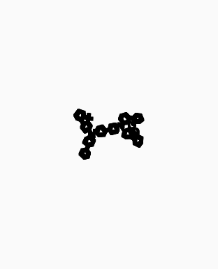 CC1(C)c2ccccc2-c2ccc(N(c3ccc(-c4ccccc4)cc3)c3ccc(-c4ccc(N(c5ccc6c(c5)oc5ccccc56)c5cccc6c5oc5ccccc56)cc4)cc3)cc21